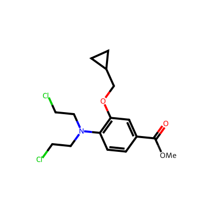 COC(=O)c1ccc(N(CCCl)CCCl)c(OCC2CC2)c1